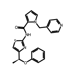 C[C@H](Oc1ccccc1)c1csc(NC(=O)c2cccn2Cc2ccncc2)n1